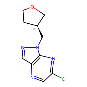 Clc1cnc2cnn(C[C@H]3CCOC3)c2n1